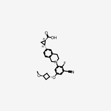 CO[C@H]1C[C@H](Oc2cc(C#N)c(F)c(N3CCc4cc([C@@H]5C[C@H]5C(=O)O)ccc4C3)c2)C1